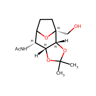 CC(=O)N[C@@H]1C2CC[C@](CO)(O2)[C@@H]2OC(C)(C)O[C@H]12